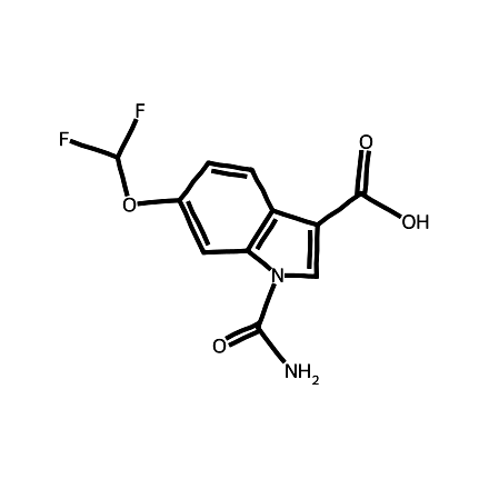 NC(=O)n1cc(C(=O)O)c2ccc(OC(F)F)cc21